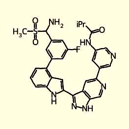 CC(C)C(=O)Nc1cncc(-c2cc3c(-c4cc5c(-c6cc(F)cc(C(N)S(C)(=O)=O)c6)cccc5[nH]4)n[nH]c3cn2)c1